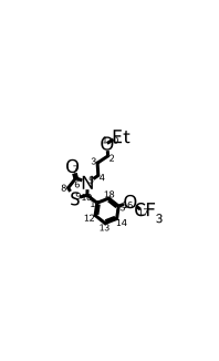 CCOCCCN1C(=O)CSC1c1cccc(OC(F)(F)F)c1